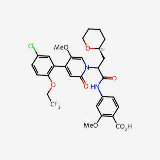 COc1cc(NC(=O)C(C[C@@H]2CCCCO2)n2cc(OC)c(-c3cc(Cl)ccc3OCC(F)(F)F)cc2=O)ccc1C(=O)O